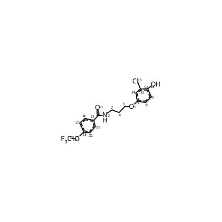 O=C(NCCCOc1ccc(O)c(Cl)c1)c1ccc(OC(F)(F)F)cc1